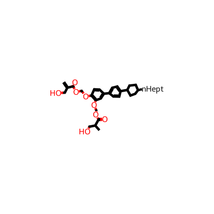 C=C(CO)C(=O)OCOc1ccc(-c2ccc(C3CCC(CCCCCCC)CC3)cc2)cc1OCOC(=O)C(C)CO